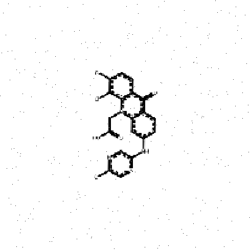 O=C(O)Cn1c2cc(Nc3cnc(Cl)cn3)ccc2c(=O)c2ccc(Cl)c(Cl)c21